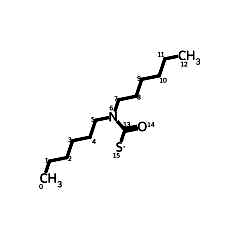 CCCCCCN(CCCCCC)C(=O)[S]